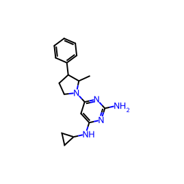 CC1C(c2ccccc2)CCN1c1cc(NC2CC2)nc(N)n1